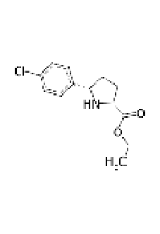 CCOC(=O)[C@H]1CC[C@@H](c2ccc(Cl)cc2)N1